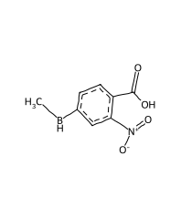 CBc1ccc(C(=O)O)c([N+](=O)[O-])c1